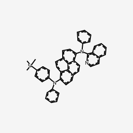 C[Si](C)(C)c1ccc(N(c2ccccc2)c2ccc3ccc4c(N(c5ccccc5)c5nccc6ccccc56)ccc5ccc2c3c54)cc1